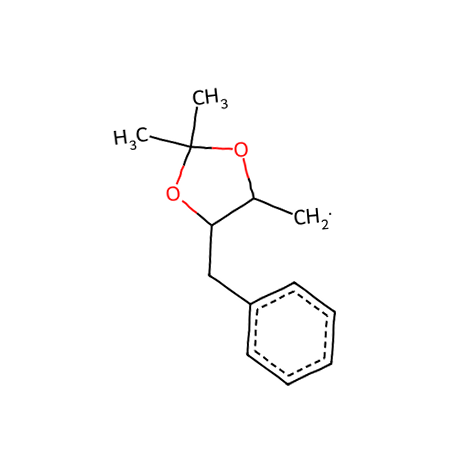 [CH2]C1OC(C)(C)OC1Cc1ccccc1